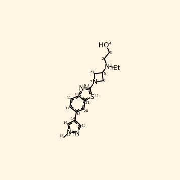 CCN(CCO)C1CN(c2nc3ccc(-c4cnn(C)c4)cc3s2)C1